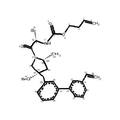 C=CCCOC(=O)N[C@H](C(=O)N1C[C@](OC)(c2cccc(-c3cccc(C=C)c3)c2)C[C@H]1C)C(C)(C)C